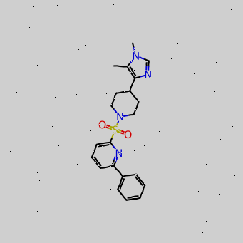 Cc1c(C2CCN(S(=O)(=O)c3cccc(-c4ccccc4)n3)CC2)ncn1C